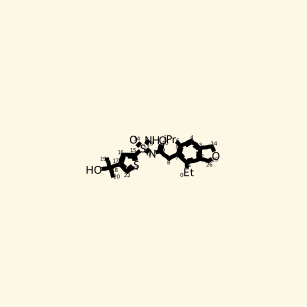 CCc1c2c(cc(C(C)C)c1CC(=O)N=S(N)(=O)c1cc(C(C)(C)O)cs1)COC2